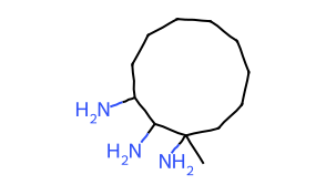 CC1(N)CCCCCCCCC(N)C1N